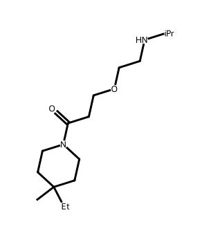 CCC1(C)CCN(C(=O)CCOCCNC(C)C)CC1